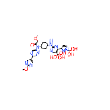 COCC(=O)N(c1cnc(-c2cnc(OC)nc2)cn1)[C@H]1CC[C@H](Nc2ncc(C(O)(O)O)c(-c3ccn(C(O)O)n3)n2)CC1